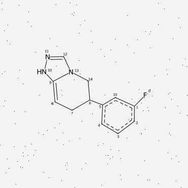 Fc1cccc(C2CC=C3NN=CN3C2)c1